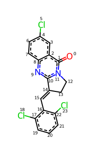 O=c1c2cc(Cl)ccc2nc2n1CC/C2=C\c1c(Cl)cccc1Cl